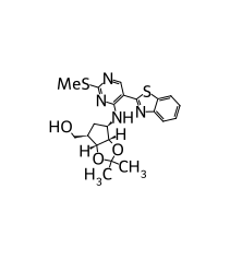 CSc1ncc(-c2nc3ccccc3s2)c(N[C@@H]2C[C@H](CO)[C@H]3OC(C)(C)O[C@H]32)n1